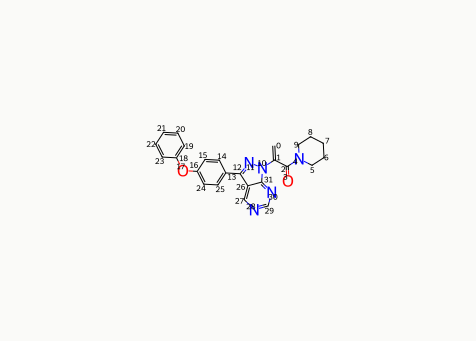 C=C(C(=O)N1CCCCC1)n1nc(-c2ccc(Oc3ccccc3)cc2)c2cncnc21